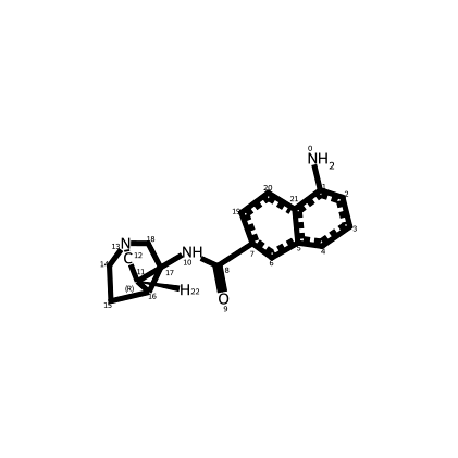 Nc1cccc2cc(C(=O)N[C@H]3CN4CCC3CC4)ccc12